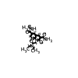 CCN(CC)C(=O)Cn1c(=O)c(C(N)=O)cc2cc(C(=O)NC)cnc21